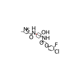 Cc1cc(C(=O)NC23CCC(NC(=O)COc4ccc(Cl)c(F)c4)(CC2)C(O)C3)sn1